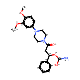 COc1ccc(N2CCN(C(=O)CC(OC(N)O)c3ccccc3)CC2)cc1OC